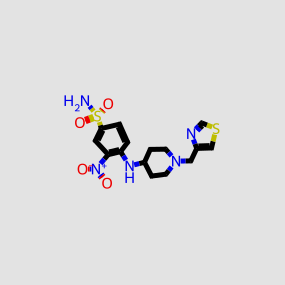 NS(=O)(=O)c1ccc(NC2CCN(Cc3cscn3)CC2)c([N+](=O)[O-])c1